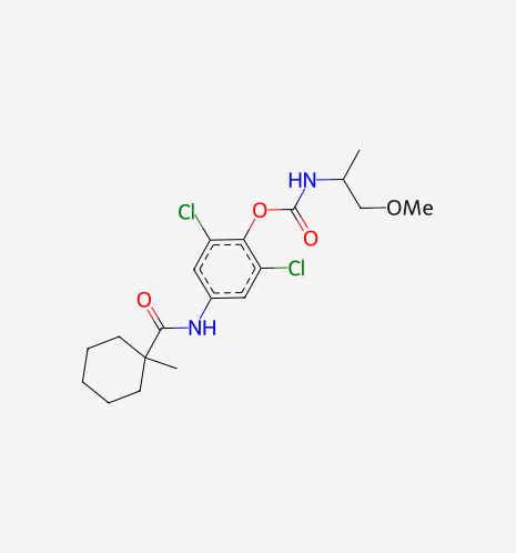 COCC(C)NC(=O)Oc1c(Cl)cc(NC(=O)C2(C)CCCCC2)cc1Cl